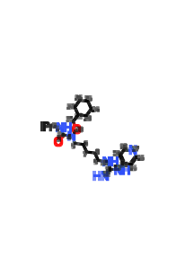 CC(C)NC(=O)N(CCCCCNC(=N)Nc1ccncc1)OCC1CCCCC1